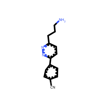 N#Cc1ccc(-c2ccc(CCCN)nn2)cc1